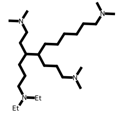 CCN(CC)CCC[C](CCN(C)C)C(CCCCCCN(C)C)CCCN(C)C